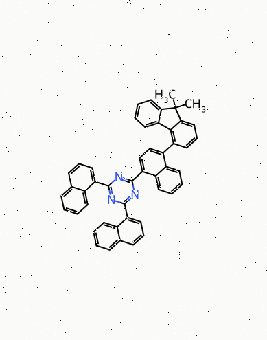 CC1(C)c2ccccc2-c2c(-c3ccc(-c4nc(-c5cccc6ccccc56)nc(-c5cccc6ccccc56)n4)c4ccccc34)cccc21